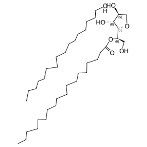 CCCCCCCCCCCCCCCCCC(=O)O[C@H](CO)[C@H]1OC[C@H](O)[C@H]1O.CCCCCCCCCCCCCCCCO